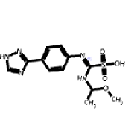 COC(C)N/C(=N\c1ccc(-c2nc[nH]n2)cc1)S(=O)(=O)O